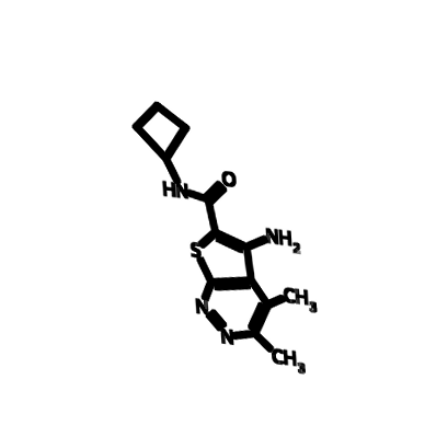 Cc1nnc2sc(C(=O)NC3CCC3)c(N)c2c1C